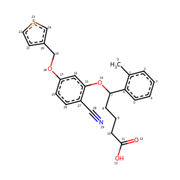 Cc1ccccc1C(CCCC(=O)O)Oc1cc(OCc2ccsc2)ccc1C#N